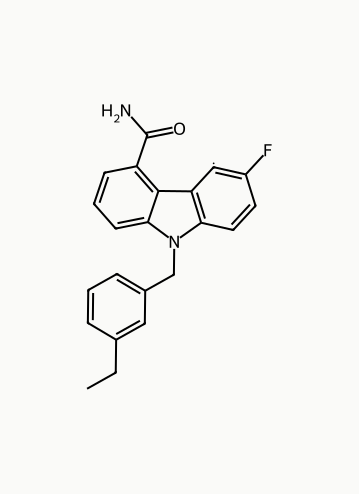 CCc1cccc(Cn2c3ccc(F)[c]c3c3c(C(N)=O)cccc32)c1